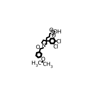 CC(C)Oc1cccc(C(=O)CN2CCC(CCCS(=O)(=O)O)(c3ccc(Cl)c(Cl)c3)C2)c1